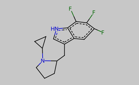 Fc1cc2c(CC3CCCN3C3CC3)c[nH]c2c(F)c1F